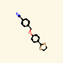 N#Cc1ccc(COc2ccc(C3SCCS3)cc2)cc1